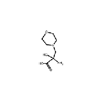 NC(O)(CN1CCOCC1)C(=O)O